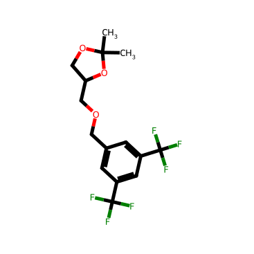 CC1(C)OCC(COCc2cc(C(F)(F)F)cc(C(F)(F)F)c2)O1